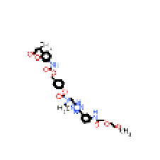 CCN(Cc1nnc(-c2cccc(NC(=O)COCCOC)c2)nn1)C(=O)Oc1ccc(COC(=O)Nc2ccc3c(C)cc(=O)oc3c2)cc1